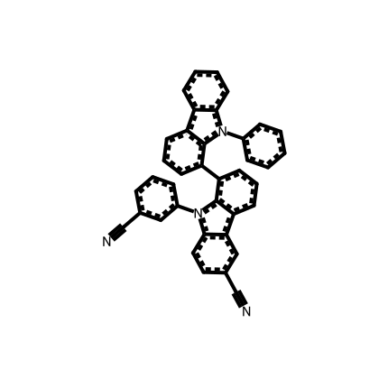 N#Cc1cccc(-n2c3ccc(C#N)cc3c3cccc(-c4cccc5c6ccccc6n(-c6ccccc6)c45)c32)c1